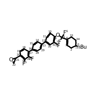 CCCCC1CC=C(C(F)(F)Oc2ccc(-c3ccc(-c4ccc(C5CO5)c(F)c4F)cc3)cc2F)CC1